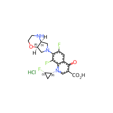 Cl.O=C(O)c1cn([C@@H]2C[C@@H]2F)c2c(F)c(N3C[C@@H]4NCCO[C@@H]4C3)c(F)cc2c1=O